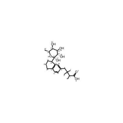 CC(C(=O)O)C(C)(C)Cc1ccc2c(c1)C([C@@]1(O)O[C@@H](C)[C@@H](O)[C@@H](O)[C@@H]1O)CCC2